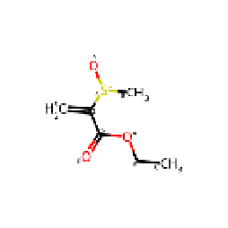 C=C(C(=O)OCC)[S+](C)[O-]